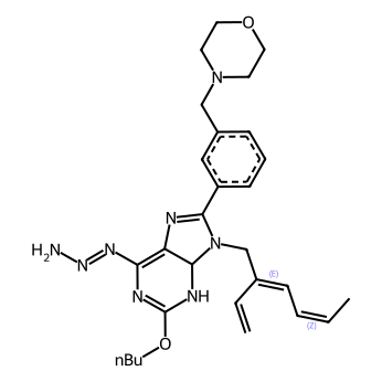 C=C/C(=C\C=C/C)CN1C(c2cccc(CN3CCOCC3)c2)=NC2=C(N=NN)N=C(OCCCC)NC21